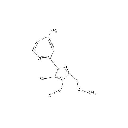 COCc1nn(-c2cc(C)ccn2)c(Cl)c1C=O